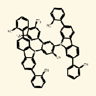 N#Cc1ccccc1-c1ccc2c3ccc(-c4ccccc4C#N)cc3n(-c3cc(-c4cc(C(F)(F)F)cc(C(F)(F)F)c4)c(-n4c5cc(-c6ccccc6C#N)ccc5c5ccc(-c6ccccc6C#N)cc54)cc3C#N)c2c1